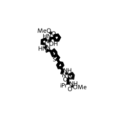 COC(=O)N[C@H](C(=O)N1CCC[C@H]1c1ncc(-c2ccc(-c3cc4ccc(-c5c[nH]c([C@@H]6CCCN6C(O)[C@H](NC(=O)OC)c6ccccc6)n5)cc4s3)cc2)[nH]1)C(C)C